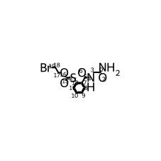 NC(=O)CNC(=O)c1ccccc1SC(=O)OCCBr